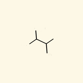 CCCC(C(=O)OCC)C(C(=O)OCC)C(=O)OCC